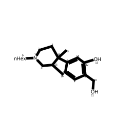 CCCCCCN1CCC(C)(c2ccc(CO)c(O)c2)C(C)C1